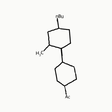 CCCCC1CCC(C2CCC(C(C)=O)CC2)C(C)C1